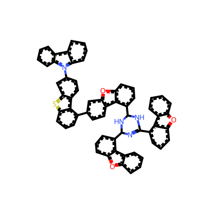 c1ccc2c(c1)oc1cccc(C3=NC(c4cccc5oc6ccccc6c45)NC(c4cccc5oc6cc(-c7cccc8sc9cc(-n%10c%11ccccc%11c%11ccccc%11%10)ccc9c78)ccc6c45)N3)c12